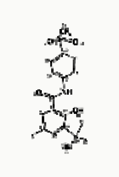 Cc1cc(C(=O)Nc2ccc(S(=O)(=O)C(F)(F)F)cc2)c(O)c(C(C)(C)C(C)(C)C)c1